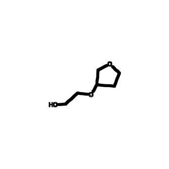 OCCOC1CCOC1